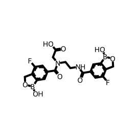 O=C(O)CN(CCNC(=O)c1cc(F)c2c(c1)B(O)OC2)C(=O)c1cc(F)c2c(c1)B(O)OC2